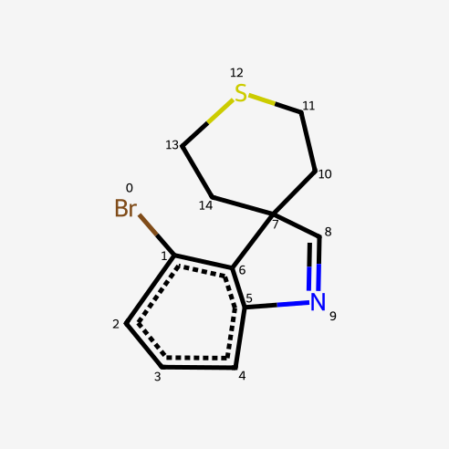 Brc1cccc2c1C1(C=N2)CCSCC1